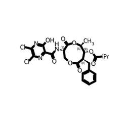 CC(C)C(=O)O[C@H]1[C@H](C)OC(=O)[C@@H](NC(=O)c2nc(Cl)c(Cl)nc2O)COC(=O)[C@@H]1Cc1ccccc1